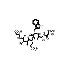 CCC(C)[C@H](NC(C)=O)C(=O)N[C@H](C(=O)N[C@@H](Cc1c[nH]c2ccccc12)C(=O)N[C@@H](CCC(=O)O)C(=O)N[C@H](C(=O)NCCC(=O)O)C(C)C)C(C)CC